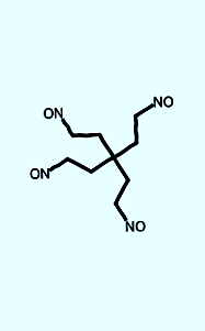 O=NCCC(CCN=O)(CCN=O)CCN=O